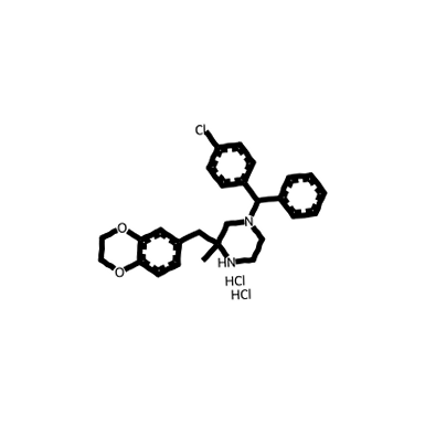 CC1(Cc2ccc3c(c2)OCCO3)CN(C(c2ccccc2)c2ccc(Cl)cc2)CCN1.Cl.Cl